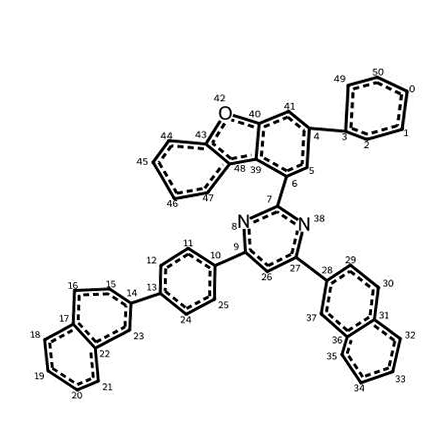 c1ccc(-c2cc(-c3nc(-c4ccc(-c5ccc6ccccc6c5)cc4)cc(-c4ccc5ccccc5c4)n3)c3c(c2)oc2ccccc23)cc1